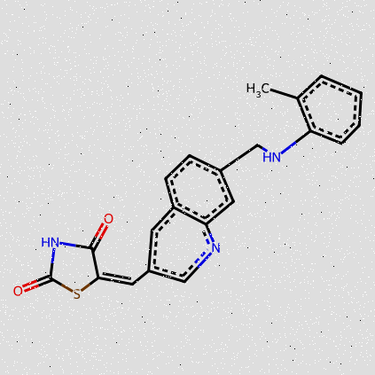 Cc1ccccc1NCc1ccc2cc(C=C3SC(=O)NC3=O)cnc2c1